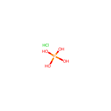 Cl.O[P](O)(O)O